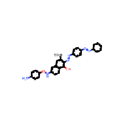 Nc1ccc(ONc2ccc3c(O)c(N=Nc4ccc(N=Nc5ccccc5)cc4)c(S(=O)(=O)O)cc3c2)cc1